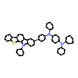 c1ccc(N(c2ccccc2)c2ccc(N(c3ccccc3)c3ccc(-c4ccc5c(c4)c4ccc6c7ccccc7sc6c4n5-c4ccccc4)cc3)cc2)cc1